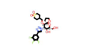 O=S1(=O)CCC(CO[C@@H]2[C@@H](n3cc(-c4cc(F)c(F)c(F)c4)nn3)[C@@H](O)[C@@H](CO)O[C@@]23CCCO3)CC1